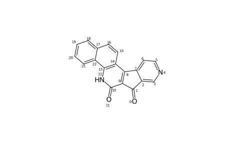 O=C1c2cnccc2-c2c1c(=O)[nH]c1c2ccc2ccccc21